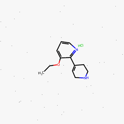 CCOc1cccnc1C1=CCNCC1.Cl